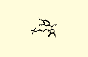 Cc1c(I)nc(C(O)c2ccc(F)c(Cl)c2)n1COCC[Si](C)(C)C